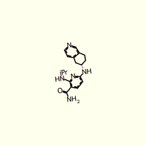 CC(C)Nc1nc(N[C@H]2CCc3cnccc3C2)ccc1C(N)=O